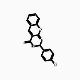 S=C1NC(c2ccc(Cl)cc2)N=C2Oc3ccccc3C=C12